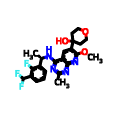 COc1nc2nc(C)nc(N[C@H](C)c3cccc(C(F)F)c3F)c2cc1C1(O)CCOCC1